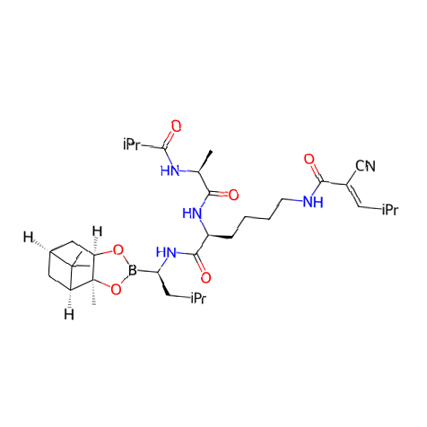 CC(C)C=C(C#N)C(=O)NCCCC[C@H](NC(=O)[C@H](C)NC(=O)C(C)C)C(=O)N[C@@H](CC(C)C)B1O[C@@H]2C[C@@H]3C[C@@H](C3(C)C)[C@]2(C)O1